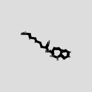 CCCCC=CCCCCC(=O)NC1=NSc2ccccc2C=C1